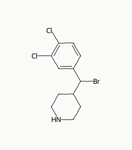 Clc1ccc(C(Br)C2CCNCC2)cc1Cl